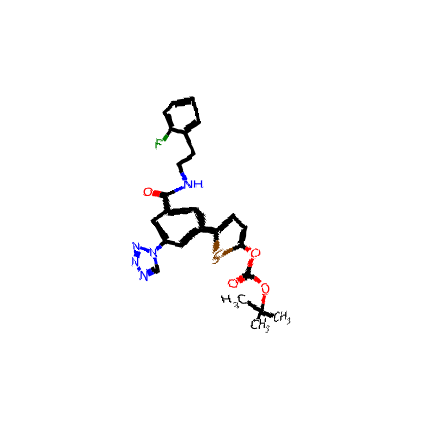 CC(C)(C)OC(=O)Oc1ccc(-c2cc(C(=O)NCCc3ccccc3F)cc(-n3cnnn3)c2)s1